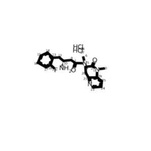 CN1C(=O)C(N(C)C(=O)C[C@H](N)Cc2ccccc2F)Cc2ncccc21.Cl.Cl